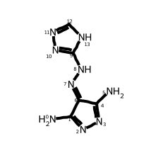 NC1=NN=C(N)C1=NNc1nnc[nH]1